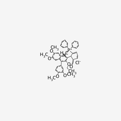 CCOc1c(C2C(=C=O)C=CC=C2[P+](C)(c2ccccc2)c2ccccc2)nc2cc(OC)c(OC)cc2c1-c1ccc(OC)c(OC)c1.[Cl-]